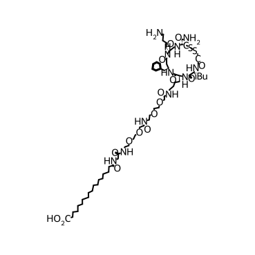 CC[C@H](C)[C@@H]1NC(=O)CCSSC[C@@H](C(N)=O)NC(=O)[C@@H](CCCCN)NC(=O)C[C@H](Cc2ccccc2)NC(=O)[C@H](CCCCNC(=O)COCCOCCNC(=O)COCCOCCNC(=O)CNC(=O)CCCCCCCCCCCCCCCCC(=O)O)NC1=O